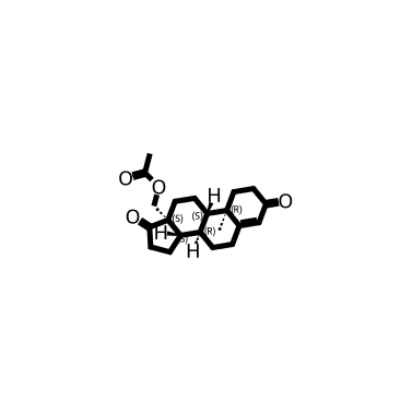 CC(=O)OC[C@]12CC[C@H]3[C@@H](CCC4=CC(=O)CC[C@@]43C)[C@@H]1CCC2=O